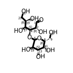 O=C[C@H](O)[C@@H](OC1O[C@H](CO)[C@H](O)[C@H](O)[C@H]1O)[C@@H](O)[C@H](O)CO